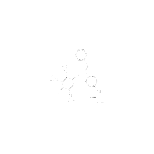 O=C(O)Nc1ccc(/C=C/c2ccccc2)cc1.O=C1C=C(N2CC2)C(=O)C(N2CC2)=C1N1CC1